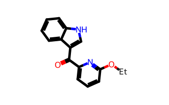 CCOc1cccc(C(=O)c2c[nH]c3ccccc23)n1